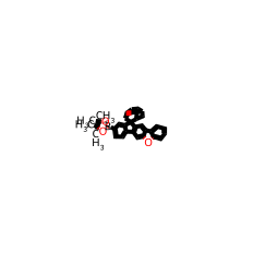 CC1(C)OB(c2ccc3c(c2)C2(c4cc5c(cc4-3)oc3ccccc35)C3CC4CC(C3)CC2C4)OC1(C)C